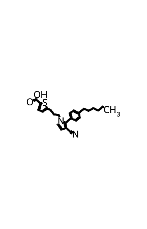 CCCCCCc1ccc(-c2c(C#N)ccn2CCCc2ccc(C(=O)O)s2)cc1